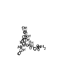 NS(=O)(=O)c1cccc(NC(=O)N[C@@H]2CCN(c3nc(N[C@H](CO)Cc4ccccc4)c4ncn([C@@H]5O[C@H](c6cc(CO)no6)[C@@H](O)[C@H]5O)c4n3)C2)c1